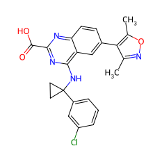 Cc1noc(C)c1-c1ccc2nc(C(=O)O)nc(NC3(c4cccc(Cl)c4)CC3)c2c1